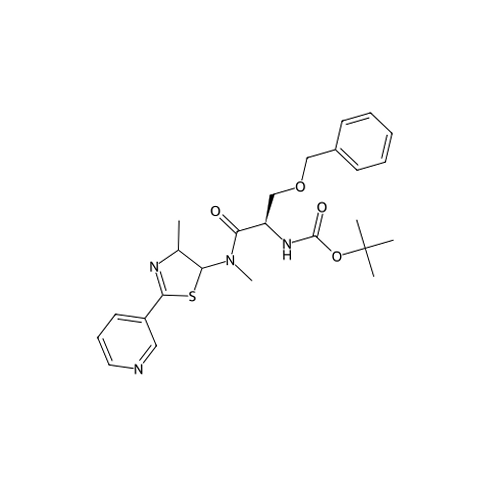 CC1N=C(c2cccnc2)SC1N(C)C(=O)[C@@H](COCc1ccccc1)NC(=O)OC(C)(C)C